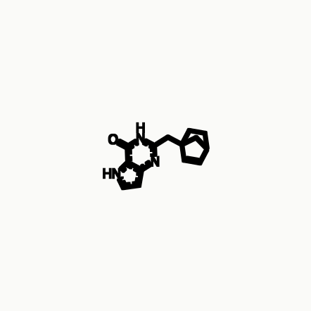 O=c1[nH]c(CC23C=CC(CC2)C3)nc2cc[nH]c12